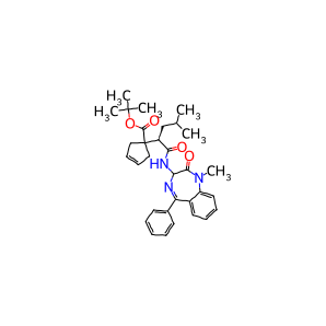 CC(C)C[C@@H](C(=O)NC1N=C(c2ccccc2)c2ccccc2N(C)C1=O)C1(C(=O)OC(C)(C)C)CC=CC1